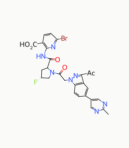 CC(=O)c1nn(CC(=O)N2C[C@H](F)CC2C(=O)Nc2nc(Br)ccc2C(=O)O)c2ccc(-c3cnc(C)nc3)cc12